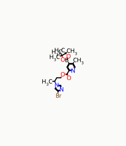 Cc1cnc(C(=O)OCCC(C)n2cnc(Br)c2)cc1B1OC(C)(C)C(C)(C)O1